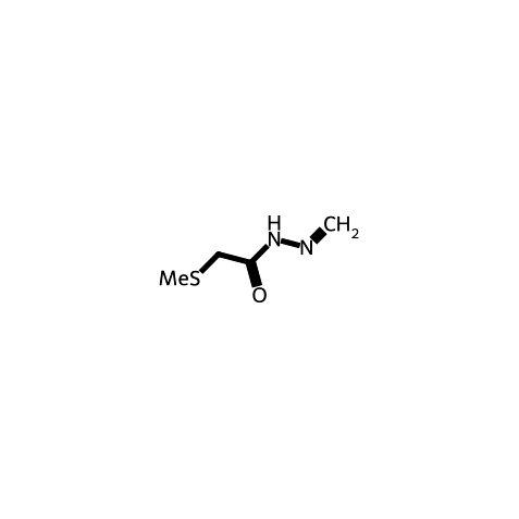 C=NNC(=O)CSC